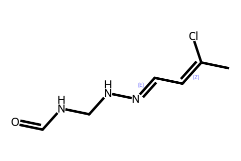 C/C(Cl)=C/C=N/NCNC=O